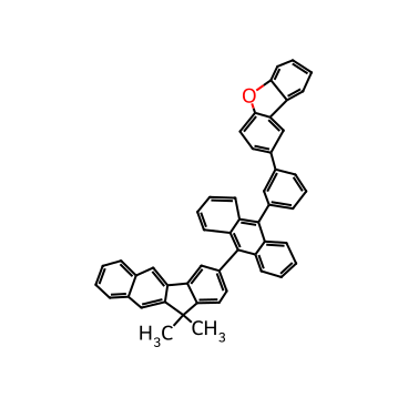 CC1(C)c2ccc(-c3c4ccccc4c(-c4cccc(-c5ccc6oc7ccccc7c6c5)c4)c4ccccc34)cc2-c2cc3ccccc3cc21